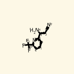 N#CC=C(N)c1cccc(C(F)(F)F)n1